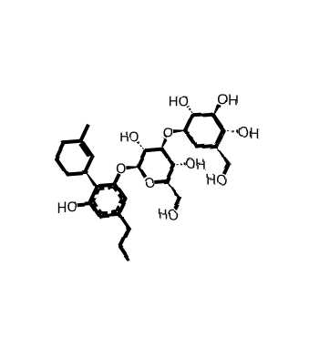 CCCc1cc(O)c([C@@H]2C=C(C)CCC2)c(O[C@@H]2O[C@H](CO)[C@@H](O)[C@H](O[C@@H]3C[C@H](CO)[C@@H](O)[C@H](O)[C@H]3O)[C@H]2O)c1